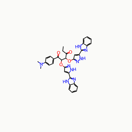 CCC(=O)C(Oc1cc(-c2nc3ccccc3[nH]2)[nH]n1)C(Oc1cc(-c2nc3ccccc3[nH]2)[nH]n1)C(=O)c1ccc(N(C)C)cc1